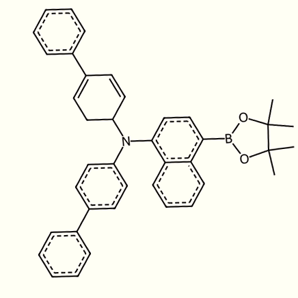 CC1(C)OB(c2ccc(N(c3ccc(-c4ccccc4)cc3)C3C=CC(c4ccccc4)=CC3)c3ccccc23)OC1(C)C